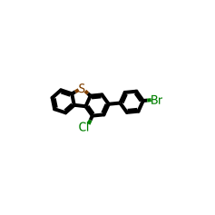 Clc1cc(-c2ccc(Br)cc2)cc2sc3ccccc3c12